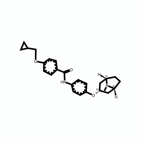 CN1[C@@H]2CC[C@H]1C[C@@H](Oc1ccc(NC(=O)c3ccc(OCC4CC4)cc3)cc1)C2